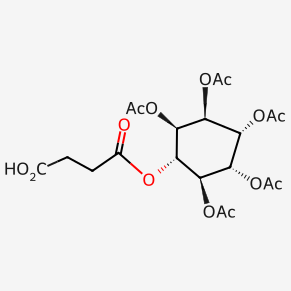 CC(=O)O[C@@H]1[C@H](OC(C)=O)[C@@H](OC(C)=O)[C@H](OC(=O)CCC(=O)O)[C@@H](OC(C)=O)[C@H]1OC(C)=O